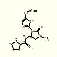 CCCCCOc1nnc(N2C(=O)N(C)CC2OC(=O)C2CCCO2)s1